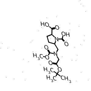 COC(=O)N(CC(=O)OC(C)(C)C)CC1CCC(C(=O)O)N1C(=O)O